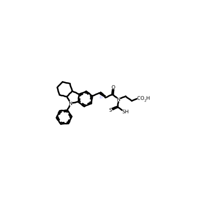 O=C(O)CCN(C(=O)/C=C/c1ccc2c(c1)C1CCCCC1N2c1ccccc1)C(=S)S